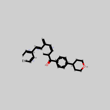 C=C(/C=C\C(C)C(=O)c1ccc(C2CCOCC2)cc1)/C=C/C(/C=C\CC)=C/C